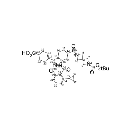 CC(C)(C)OC(=O)N1CC2(C1)CN(C(=O)C1CCc3c(C4=CCC(C(=O)O)CC4)nn(C(=O)c4c(Cl)cccc4C4CC4)c3C1)C2